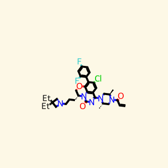 C=CC(=O)N1C[C@H](C)N(c2nc(=O)n3c4c(c(-c5ccc(F)cc5F)c(Cl)cc24)OC[C@H]3CCCN2CC(CC)(CC)C2)C[C@H]1C